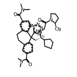 CN(C)C(=O)c1ccc2c(c1)CCc1cc(C(=O)N(C)C)ccc1C2(C[C@H](NCC(=O)N1CCCC1C#N)C1CCCC1)c1nnn[nH]1